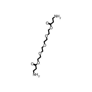 NCCC(=O)OCCOCCOCCOCCOC(=O)CCN